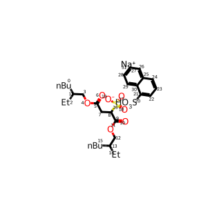 CCCCC(CC)COC(=O)CC(C(=O)OCC(CC)CCCC)S(=O)(=O)[O-].O=S(=O)(O)c1cccc2ccccc12.[Na+]